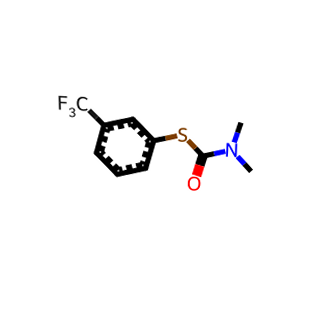 CN(C)C(=O)Sc1cccc(C(F)(F)F)c1